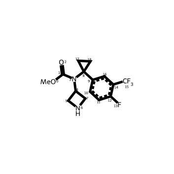 COC(=O)N(C1CNC1)C1(c2ccc(F)c(C(F)(F)F)c2)CC1